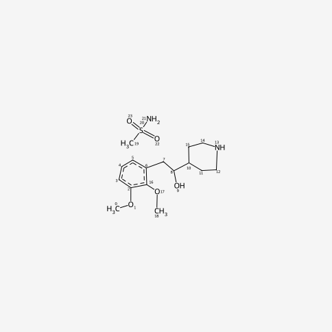 COc1cccc(CC(O)C2CCNCC2)c1OC.CS(N)(=O)=O